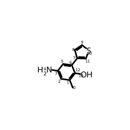 Cc1cc(N)cc(-c2ccsc2)c1O